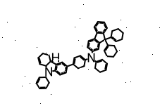 C1=CCCC(N(C2=CC=C(c3ccc4c(c3)[C@H]3CCC=CC3N4C3C=CC=CC3)CC2)c2ccc3c(c2)C(C2=CCCCC2)(C2=CCCCC2)c2ccccc2-3)=C1